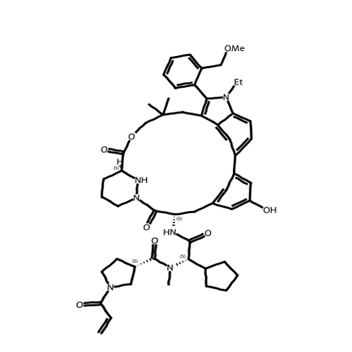 C=CC(=O)N1CC[C@H](C(=O)N(C)[C@H](C(=O)N[C@H]2Cc3cc(O)cc(c3)-c3ccc4c(c3)c(c(-c3ccccc3COC)n4CC)CC(C)(C)COC(=O)[C@@H]3CCCN(N3)C2=O)C2CCCC2)C1